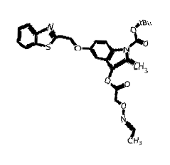 CC=NOCC(=O)Oc1c(C)n(C(=O)OC(C)(C)C)c2ccc(OCc3nc4ccccc4s3)cc12